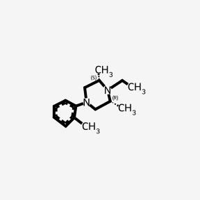 CCN1[C@H](C)CN(c2ccccc2C)C[C@@H]1C